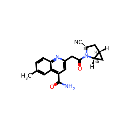 Cc1ccc2nc(CC(=O)N3[C@H](C#N)C[C@@H]4C[C@@H]43)cc(C(N)=O)c2c1